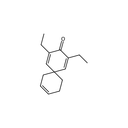 CCC1=CC2(C=C(CC)C1=O)CC=CCC2